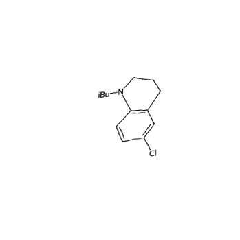 CCC(C)N1CCCc2cc(Cl)ccc21